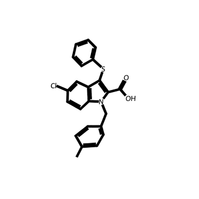 Cc1ccc(Cn2c(C(=O)O)c(Sc3ccccc3)c3cc(Cl)ccc32)cc1